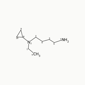 CCN(CCCCN)C1CC1